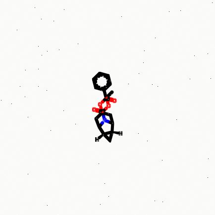 CCOC(=O)N1C2CC(OC(=O)c3ccccc3)CC1[C@@H]1C[C@H]21